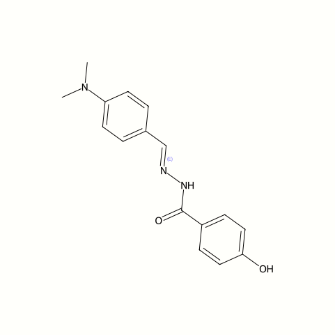 CN(C)c1ccc(/C=N/NC(=O)c2ccc(O)cc2)cc1